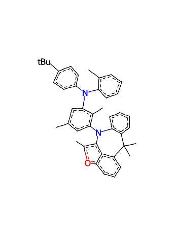 Cc1cc(N(c2ccc(C(C)(C)C)cc2)c2ccccc2C)c(C)c(N2c3ccccc3C(C)(C)c3cccc4oc(C)c2c34)c1